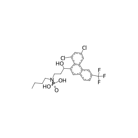 CCCCN(CCC(O)c1cc2ccc(C(F)(F)F)cc2c2cc(Cl)cc(Cl)c12)P(=O)(O)O